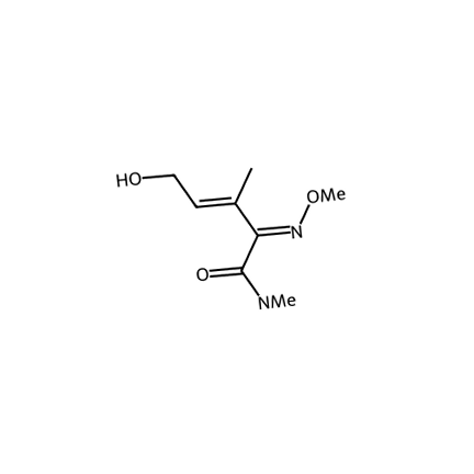 CNC(=O)C(=N/OC)/C(C)=C/CO